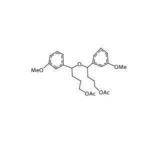 COc1cccc(C(CCCOC(C)=O)OC(CCCOC(C)=O)c2cccc(OC)c2)c1